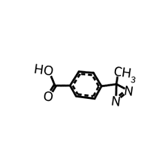 CC1(c2ccc(C(=O)O)cc2)N=N1